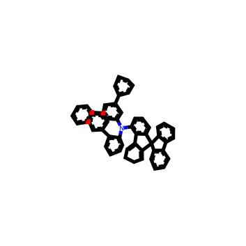 C1=C2C(=CCC1)C1(c3ccccc3-c3ccccc31)c1cccc(N(c3cc(-c4ccccc4)cc(-c4ccccc4)c3)c3ccccc3-c3ccccc3)c12